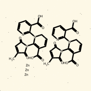 CC1=CC(=O)N(C2=C(C(=O)O)C=CCN2c2ncccc2C(=O)O)C1=O.CC1=CC(=O)N(C2=C(C(=O)O)C=CCN2c2ncccc2C(=O)O)C1=O.[Zn].[Zn].[Zn]